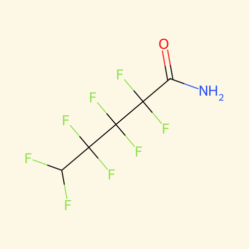 NC(=O)C(F)(F)C(F)(F)C(F)(F)C(F)F